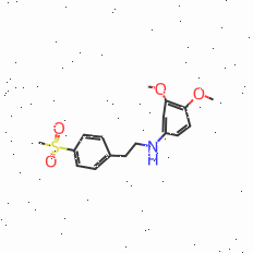 COc1ccc(NCCc2ccc(S(C)(=O)=O)cc2)cc1OC